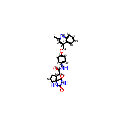 Cc1cc(COc2ccc(NC(=O)CC3CCCC34NC(=O)NC4=O)cc2)c2ccccc2n1